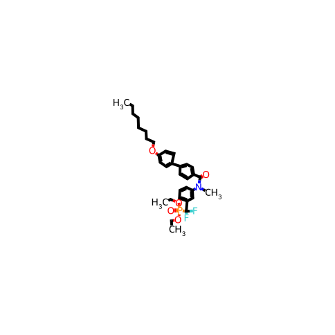 CCCCCCCCOc1ccc(-c2ccc(C(=O)N(C)c3cccc(C(F)(F)P(=O)(OCC)OCC)c3)cc2)cc1